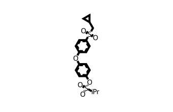 CC(C)S(=O)(=O)Oc1ccc(Oc2ccc(S(=O)(=O)CC3CC3)cc2)cc1